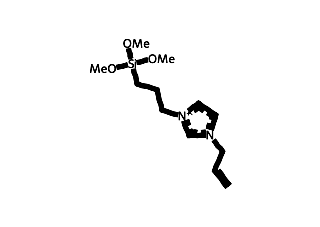 C=CCn1cc[n+](CCC[Si](OC)(OC)OC)c1